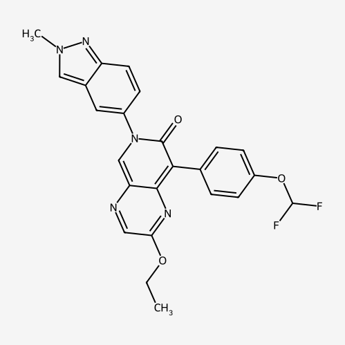 CCOc1cnc2cn(-c3ccc4nn(C)cc4c3)c(=O)c(-c3ccc(OC(F)F)cc3)c2n1